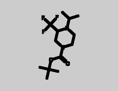 CC(C)N1CCN(C(=O)OC(C)(C)C)CC1C(F)(F)F